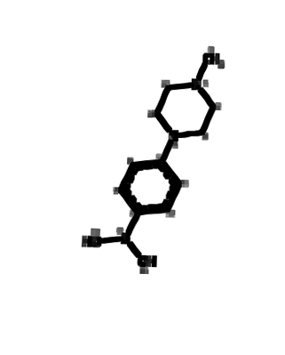 CN1CCN(c2ccc(B(O)O)cc2)CC1